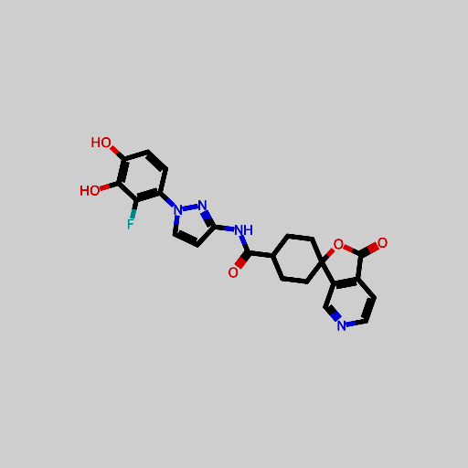 O=C1OC2(CCC(C(=O)Nc3ccn(-c4ccc(O)c(O)c4F)n3)CC2)c2cnccc21